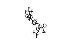 O=C(C1CC1)N(Cc1ccc(-c2noc(C(F)(F)F)n2)s1)OCC(F)F